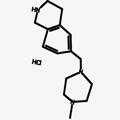 CN1CCN(Cc2ccc3c(c2)CCNC3)CC1.Cl